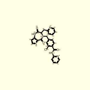 O=C(Nc1ccccn1)c1ccc(CN2C(=O)c3sccc3NC(=O)C2Cc2ccccn2)cc1Cl